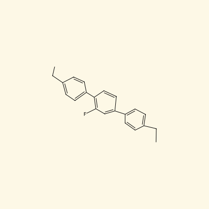 CCc1ccc(-c2ccc(-c3ccc(CC)cc3)c(F)c2)cc1